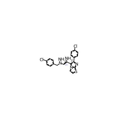 N/C(=C\N(N)Cc1ccc(Cl)cc1)c1c(-c2ccc(Cl)cc2)nc2sccn12